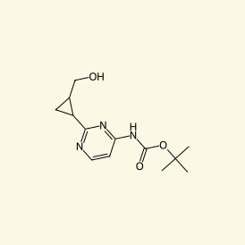 CC(C)(C)OC(=O)Nc1ccnc(C2CC2CO)n1